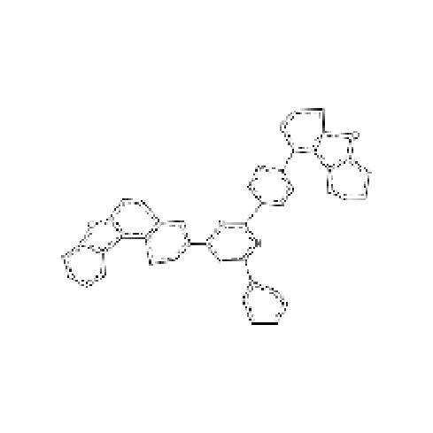 c1ccc(-c2nc(-c3ccc(-c4cccc5oc6ccccc6c45)cc3)nc(-c3ccc4c(ccc5oc6ccccc6c54)c3)n2)cc1